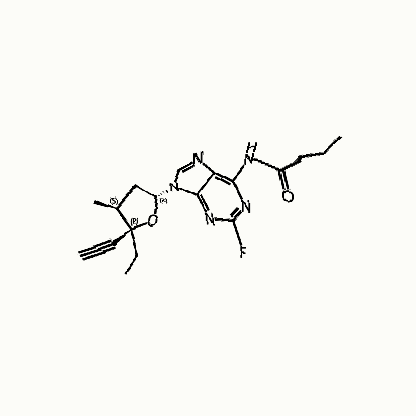 C#C[C@]1(CC)O[C@@H](n2cnc3c(NC(=O)CCC)nc(F)nc32)C[C@@H]1C